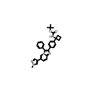 Cn1cc(-c2ccc3nc(-c4ccc(C5(NC(=O)OC(C)(C)C)CCC5)cc4)c(-c4ccccc4)n3c2)cn1